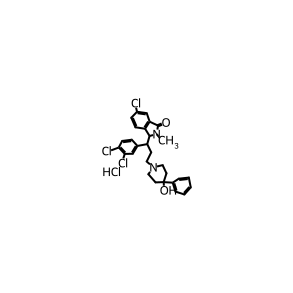 CN1C(=O)c2cc(Cl)ccc2C1C(CCN1CCC(O)(c2ccccc2)CC1)c1ccc(Cl)c(Cl)c1.Cl